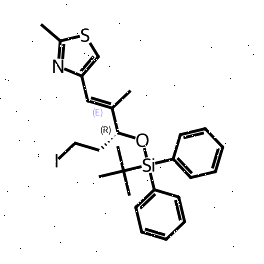 C/C(=C\c1csc(C)n1)[C@@H](CCI)O[Si](c1ccccc1)(c1ccccc1)C(C)(C)C